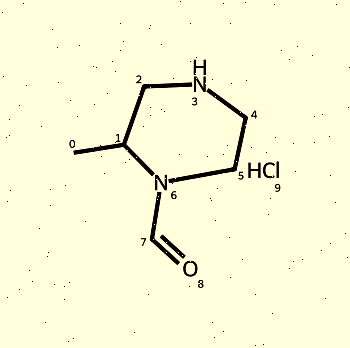 CC1CNCCN1C=O.Cl